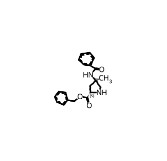 C[C@]1(NC(=O)c2ccccc2)CN[C@H](C(=O)OCc2ccccc2)C1